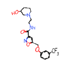 O=C(NCCN1CCCC(O)C1)c1cc(COc2cccc(C(F)(F)F)c2)on1